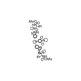 COC(=O)NC(C(=O)N1CCC[C@H]1c1nc2cc([C@H]3CC[C@H](c4ccc5[nH]c([C@@H]6CCCN6C(=O)[C@@H](NC(=O)OC)C(C)C)nc5c4)N3c3cc(Cl)c(N4CCCCC4)c(Cl)c3)ccc2[nH]1)C(C)C